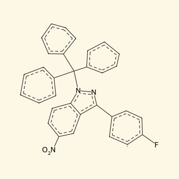 O=[N+]([O-])c1ccc2c(c1)c(-c1c[c]c(F)cc1)nn2C(c1ccccc1)(c1ccccc1)c1ccccc1